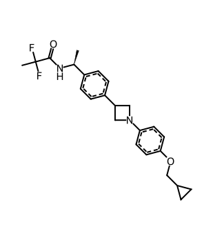 C[C@H](NC(=O)C(C)(F)F)c1ccc(C2CN(c3ccc(OCC4CC4)cc3)C2)cc1